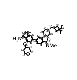 CNC(=O)c1ccc(-c2cc(OC3CCOCC3)c3c(N)n[nH]c3c2)cc1N1CCN(CC2CC(F)(F)C2)CC1